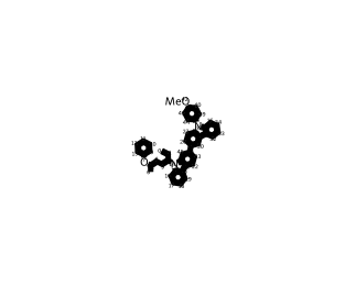 C=C/C(=C\C=C(/C)Oc1ccccc1)n1c2ccccc2c2ccc(-c3ccc4c(c3)c3ccccc3n4-c3ccc(OC)cc3)cc21